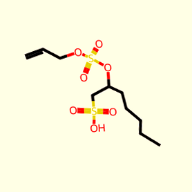 C=CCOS(=O)(=O)OC(CCCCC)CS(=O)(=O)O